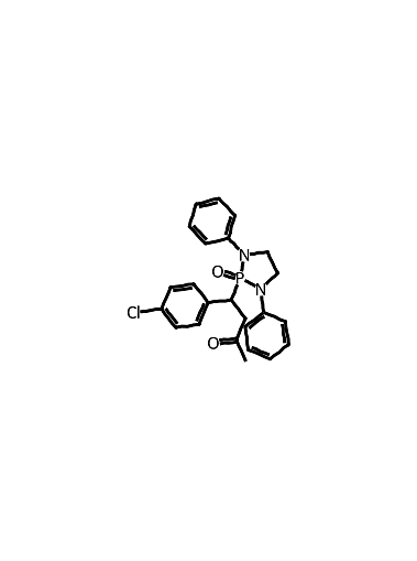 CC(=O)CC(c1ccc(Cl)cc1)P1(=O)N(c2ccccc2)CCN1c1ccccc1